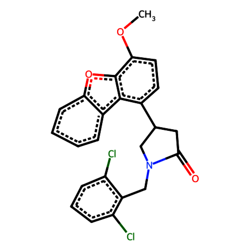 COc1ccc(C2CC(=O)N(Cc3c(Cl)cccc3Cl)C2)c2c1oc1ccccc12